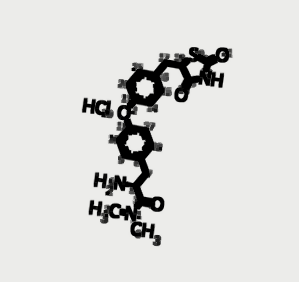 CN(C)C(=O)[C@@H](N)Cc1ccc(Oc2ccc(CC3SC(=O)NC3=O)cc2)cc1.Cl